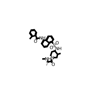 CN[C@@H](C)C(=O)N1CC[C@@H](NS(=O)(=O)c2cccc3c(NC(=O)c4ccccc4C)cccc23)C(C)C1